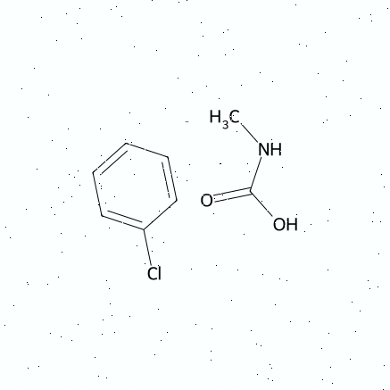 CNC(=O)O.Clc1ccccc1